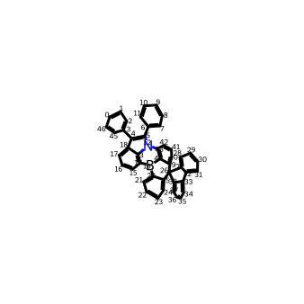 c1ccc(-c2c(-c3ccccc3)n3c4c(cccc24)B2c4ccccc4C4(c5ccccc5-c5ccccc54)c4cccc-3c42)cc1